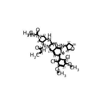 C=CC(=O)N[C@H]1CN(C(=O)NC)C[C@H]1Nc1ncc2cc(-c3c(Cl)c(OC)cc(OC)c3Cl)nc(NC3CCOC3)c2n1